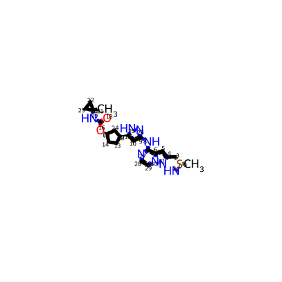 CS(=N)Cc1cc2c(Nc3cc([C@H]4CC[C@@H](OC(=O)NC5(C)CC5)C4)[nH]n3)nccn2n1